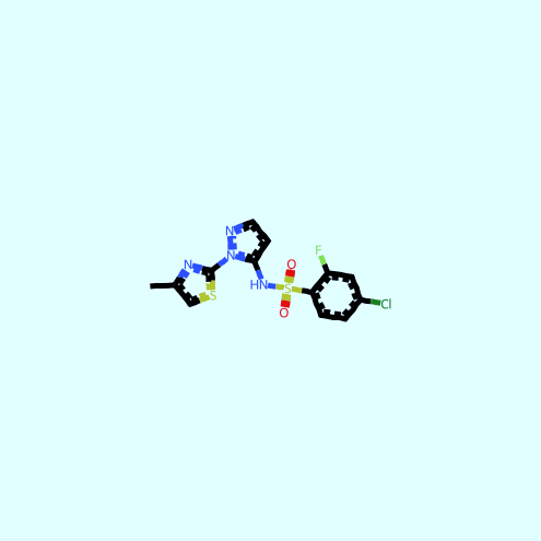 Cc1csc(-n2nccc2NS(=O)(=O)c2ccc(Cl)cc2F)n1